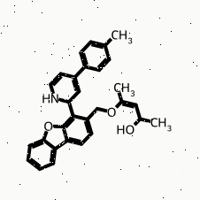 C/C(=C/C(C)O)OCc1ccc2c(oc3ccccc32)c1C1C=C(c2ccc(C)cc2)C=CN1